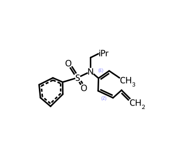 C=C/C=C\C(=C/C)N(CC(C)C)S(=O)(=O)c1ccccc1